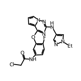 CCn1cc(Nc2nc(Oc3cc(NC(=O)CCl)ccc3F)c3cccn3n2)cn1